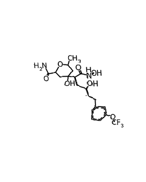 CC1CC(O)(C(CC(O)[CH]Cc2cccc(OC(F)(F)F)c2)C(=O)NO)CC(C(N)=O)O1